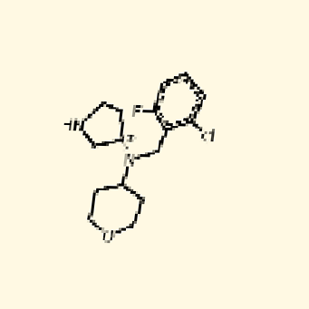 Fc1cccc(Cl)c1CN(C1CCOCC1)[C@H]1CCNC1